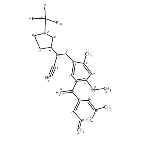 C#CN(Cc1cc(C(=C)/C(C=C(C)C)=C/C=C)c(NC)cc1C)C1CCN(C(F)(F)F)C1